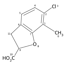 Cc1c(Cl)ccc2c1OC(C(=O)O)C2